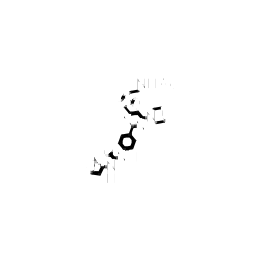 CC(=O)NCCS(=O)(=O)Cc1cc(N2CCOCC2)nc(-c2ccc(NC(=O)Nc3ccon3)cc2)n1